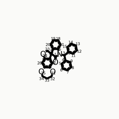 O=C1N(C(c2ccccc2)c2ccccc2)c2ccccc2C12COc1cc3c(cc12)OCCCO3